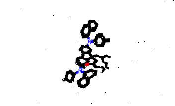 CCCCC(CC)CC1(CC(CC)CCCC)c2cc(N(c3ccc(C)cc3)c3cccc4ccccc34)ccc2-c2ccc(N(c3ccc(C)cc3)c3cccc4ccccc34)cc21